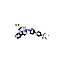 C[C@H](O)Cn1c2cnccc2c2cnc(Nc3ccc(N4CCC(N(C)C)CC4)cn3)nc21